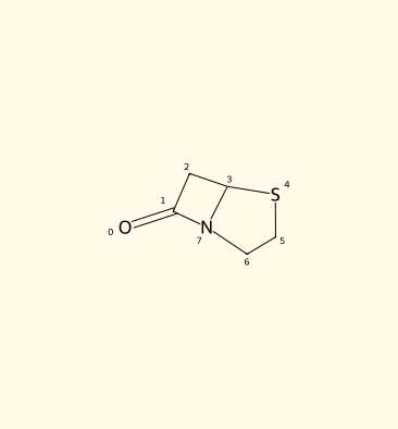 O=C1CC2SCCN12